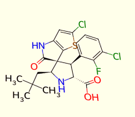 CC(C)(C)C[C@@H]1N[C@@H](C(=O)O)[C@H](c2cccc(Cl)c2F)[C@]12C(=O)Nc1cc(Cl)sc12